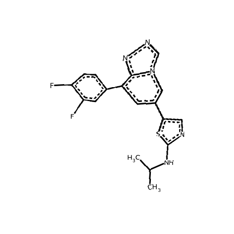 CC(C)Nc1ncc(-c2cc(-c3ccc(F)c(F)c3)c3nncn3c2)s1